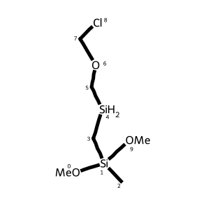 CO[Si](C)(C[SiH2]COCCl)OC